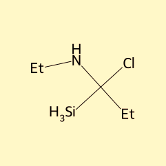 CCNC([SiH3])(Cl)CC